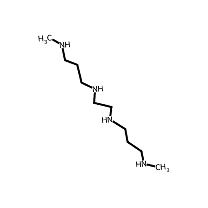 CNCCCNCCNCCCNC